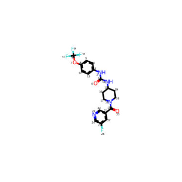 O=C(Nc1ccc(OC(F)(F)F)cc1)NC1CCN(C(=O)c2cncc(F)c2)CC1